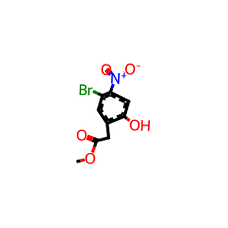 COC(=O)Cc1cc(Br)c([N+](=O)[O-])cc1O